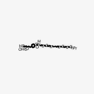 CCCOCCOCCOCCOCCCCCOCCOCCOCCNC(=O)OC1CCC(CCC(CCO)OC=O)CC1